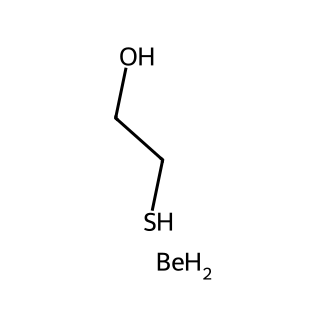 OCCS.[BeH2]